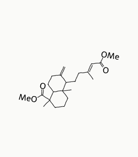 C=C1CCC2C(C)(C(=O)OC)CCCC2(C)C1CC/C(C)=C/C(=O)OC